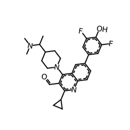 CC(C1CCN(c2c(C=O)c(C3CC3)nc3ccc(-c4cc(F)c(O)c(F)c4)cc23)CC1)N(C)C